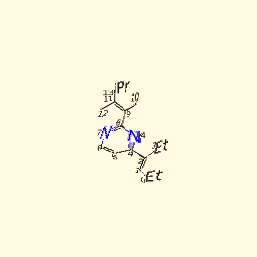 CC/C=C(\CC)c1ccnc(/C(C)=C(\C)C(C)C)n1